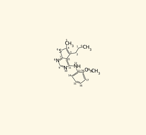 CCCc1c(C)sc2ncnc(Nc3ccccc3OC)c12